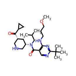 COCCCNc1nc(C(C)(C)C)ncc1C(=O)N(CC(C)C)[C@@H]1CNC[C@H](C(=O)C2CC2)C1